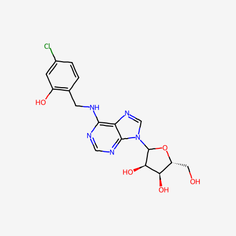 OC[C@H]1OC(n2cnc3c(NCc4ccc(Cl)cc4O)ncnc32)[C@H](O)[C@@H]1O